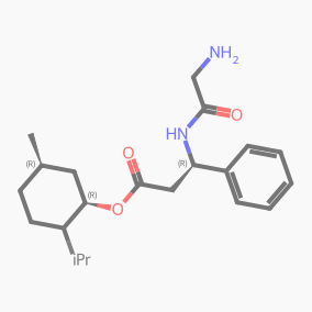 CC(C)C1CC[C@@H](C)C[C@H]1OC(=O)C[C@@H](NC(=O)CN)c1ccccc1